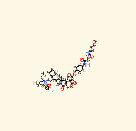 CC(C)N(CCc1c2c(nc3ccccc13)-c1cc3c(c(=O)n1C2)COC(=O)[C@@]3(C)OC(=O)OCc1ccc(NC(=O)CNC(=O)COCC=O)cc1)S(C)(=O)=O